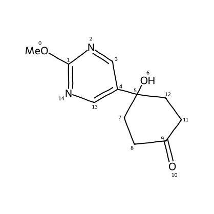 COc1ncc(C2(O)CCC(=O)CC2)cn1